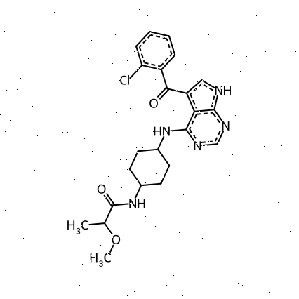 COC(C)C(=O)NC1CCC(Nc2ncnc3[nH]cc(C(=O)c4ccccc4Cl)c23)CC1